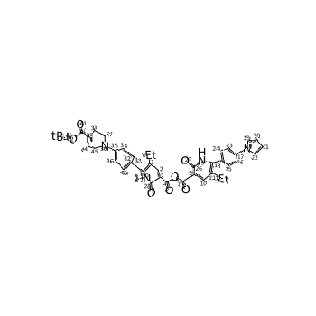 CCc1cc(C(=O)OC(=O)c2cc(CC)c(-c3ccc(-n4cccc4)cc3)[nH]c2=O)c(=O)[nH]c1-c1ccc(N2CCN(C(=O)OC(C)(C)C)CC2)cc1